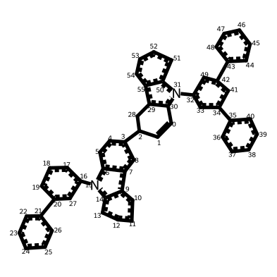 C1=CC(c2ccc3c(c2)c2ccccc2n3-c2cccc(-c3ccccc3)c2)Cc2c1n(-c1cc(-c3ccccc3)cc(-c3ccccc3)c1)c1ccccc21